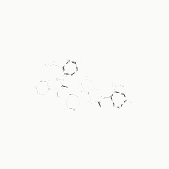 CCc1ccc(NC(=O)N(C[C@H]2CC[C@H](CN(C(=O)Nc3ccc(CC)cc3NC)C3CCCCC3)CC2)C2CCCCC2)c(NC)c1